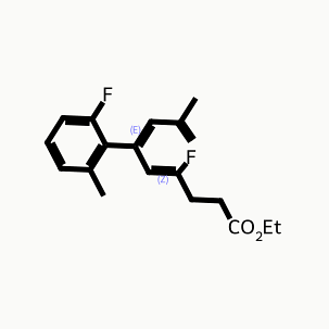 C=C(C)/C=C(\C=C(/F)CCC(=O)OCC)c1c(C)cccc1F